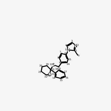 Cc1nccn1-c1ccc(CSC2(c3ccccc3)CCCCO2)cc1